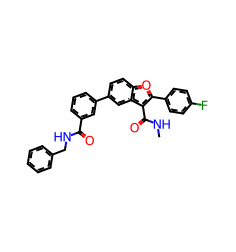 CNC(=O)c1c(-c2ccc(F)cc2)oc2ccc(-c3cccc(C(=O)NCc4ccccc4)c3)cc12